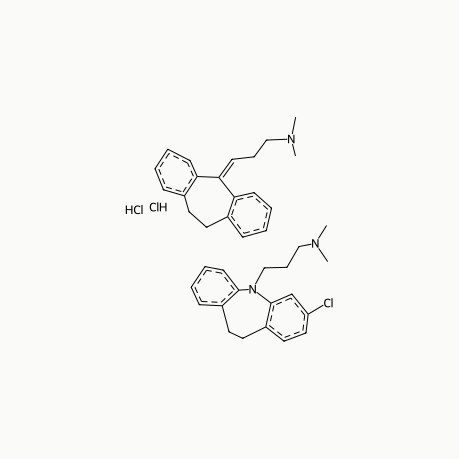 CN(C)CCC=C1c2ccccc2CCc2ccccc21.CN(C)CCCN1c2ccccc2CCc2ccc(Cl)cc21.Cl.Cl